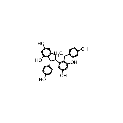 C[C@H](c1ccc(O)cc1)c1c(O)cc(O)cc1[C@@H]1Cc2cc(O)cc(O)c2[C@H]1c1ccc(O)cc1